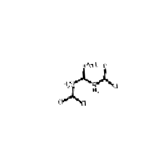 CCCCCC([SiH2]C(Cl)Cl)[SiH2]C(Cl)Cl